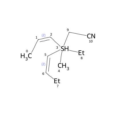 C/C=C\[SH](C)(/C=C\CC)(CC)CC#N